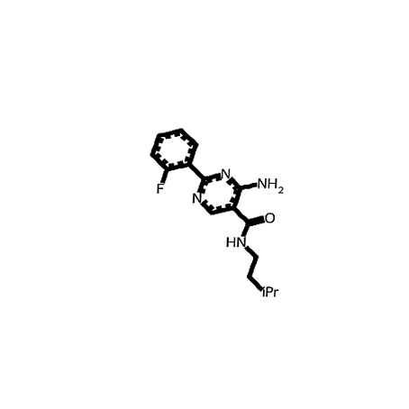 CC(C)CCNC(=O)c1cnc(-c2ccccc2F)nc1N